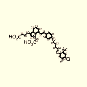 CC(=O)c1cc(Cl)c(C)cc1OCCCCOc1ccc(/C=C/c2cccc3c(CCCC(=O)O)cn(CC(=O)O)c23)cc1